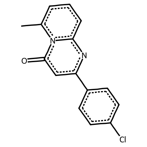 Cc1cccc2nc(-c3ccc(Cl)cc3)cc(=O)n12